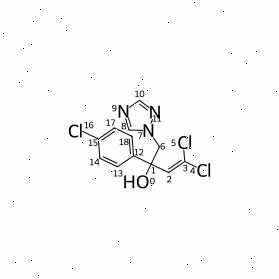 OC(C=C(Cl)Cl)(Cn1cncn1)c1ccc(Cl)cc1